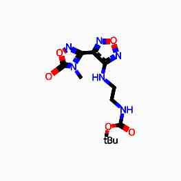 Cn1c(-c2nonc2NCCNC(=O)OC(C)(C)C)noc1=O